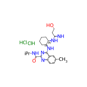 Cc1ccc2nc(C(=O)NC(C)C)nc(N[C@H]3CCCC[C@H]3NC(=N)CCO)c2c1.Cl.Cl